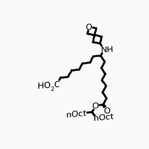 CCCCCCCCC(CCCCCCCC)OC(=O)CCCCCCCC(CCCCCCCC(=O)O)NC1CC2(COC2)C1